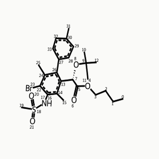 CCCCOC(=O)[C@@H](OC(C)(C)C)c1c(C)c(NS(C)(=O)=O)c(Br)c(C)c1-c1ccc(C)cc1